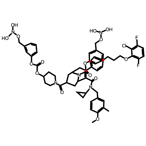 COc1ccc(CN(C(=O)C2=C(c3ccc(CCCOc4c(F)ccc(F)c4Cl)cc3)CC3CC(C(=O)N4CCC(OC(=O)Oc5cccc(CON(O)O)c5)CC4)CC2N3C(=O)Oc2cccc(CON(O)O)c2)C2CC2)cc1C